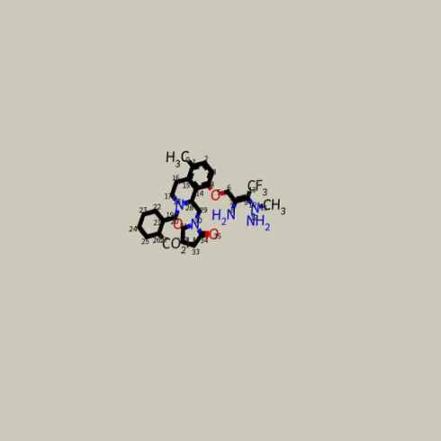 Cc1ccc(OC/C(N)=C(/N(C)N)C(F)(F)F)c2c1CCN(C(=O)C1CCCCC1C(=O)O)C2CN1CCCC1=O